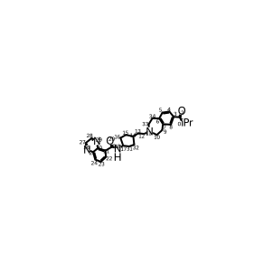 CC(C)C(=O)c1ccc2c(c1)CCN(CCC1CCC(NC(=O)c3cccc4nccnc34)CC1)CC2